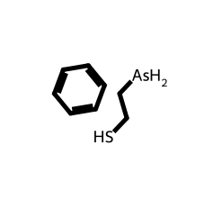 SCC[AsH2].c1ccccc1